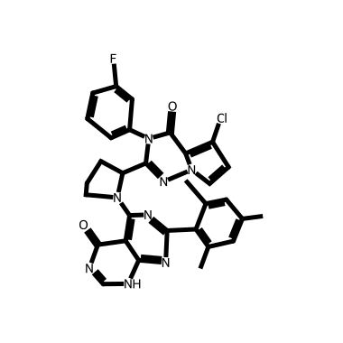 Cc1cc(C)c(-c2nc(N3CCCC3c3nn4ccc(Cl)c4c(=O)n3-c3cccc(F)c3)c3c(=O)nc[nH]c3n2)c(C)c1